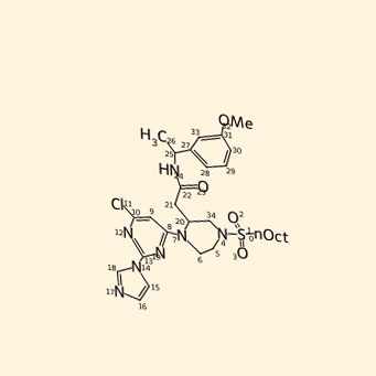 CCCCCCCCS(=O)(=O)N1CCN(c2cc(Cl)nc(-n3ccnc3)n2)C(CC(=O)NC(C)c2cccc(OC)c2)C1